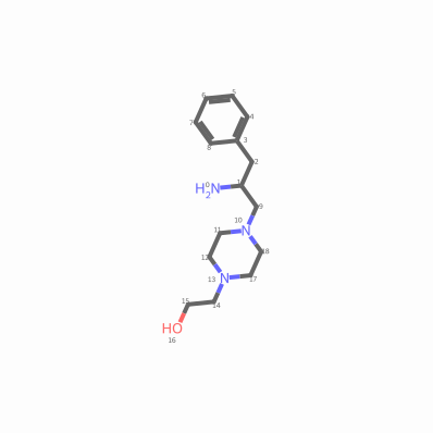 NC(Cc1ccccc1)CN1CCN(CCO)CC1